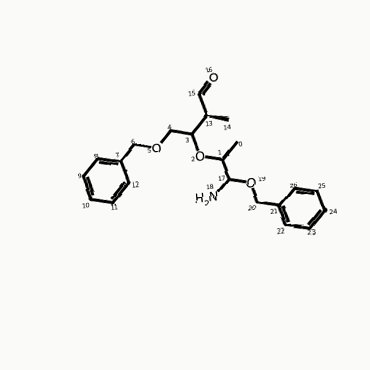 CC(OC(COCc1ccccc1)[C@H](C)C=O)C(N)OCc1ccccc1